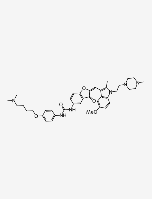 COc1ccc2c(c1)c(C=C1Oc3ccc(NC(=O)Nc4ccc(OCCCCN(C)C)cc4)cc3C1=O)c(C)n2CCN1CCN(C)CC1